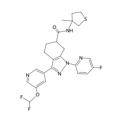 CC1(NC(=O)C2CCc3c(-c4cncc(OC(F)F)c4)nn(-c4ccc(F)cn4)c3C2)CCSC1